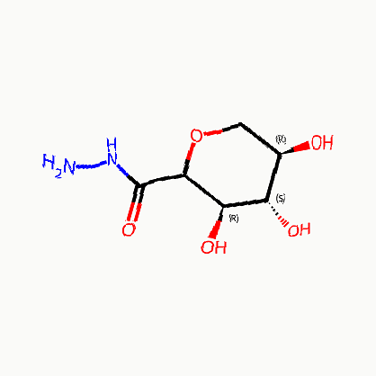 NNC(=O)C1OC[C@@H](O)[C@H](O)[C@H]1O